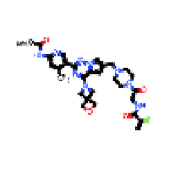 C=C(F)C(=O)NCC(=O)N1CCN(Cc2cc3c(N4CC5(COC5)C4)nc(-c4cnc(NC(=O)OC)cc4C(F)(F)F)nn3c2)CC1